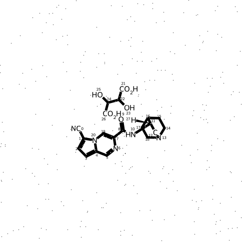 N#Cc1ccc2cnc(C(=O)N[C@H]3CN4CCC3CC4)cn12.O=C(O)C(O)C(O)C(=O)O